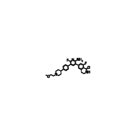 COCCN1CCC(c2ccc(-c3cc(-c4cc(F)c5c(c4)CCNC5=O)c(N)nc3F)cc2)CC1